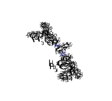 CC1(C)c2cc(/C=C/c3ccc(/C=C/c4ccc5c(c4)C(C)(C)c4cc(N(c6ccc7ccccc7c6)c6ccc7ccccc7c6)ccc4-5)c4ccccc34)ccc2-c2ccc(N(c3ccc4ccccc4c3)c3ccc4ccccc4c3)cc21